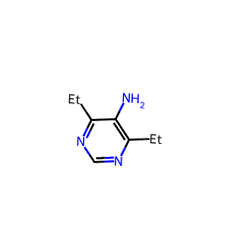 CCc1ncnc(CC)c1N